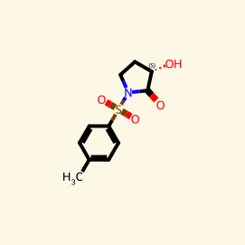 Cc1ccc(S(=O)(=O)N2CC[C@H](O)C2=O)cc1